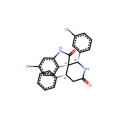 O=C1C[C@H](c2ccccc2)[C@@]2(C(=O)Nc3cc(Cl)ccc32)[C@H](c2cccc(Cl)c2)N1